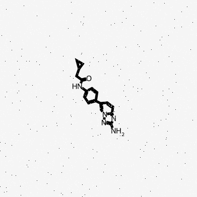 Nc1nc2ccc(-c3ccc(NC(=O)CC4CC4)cc3)cn2n1